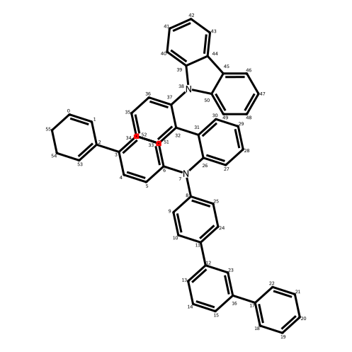 C1=CC(c2ccc(N(c3ccc(-c4cccc(-c5ccccc5)c4)cc3)c3ccccc3-c3ccccc3-n3c4ccccc4c4ccccc43)cc2)=CCC1